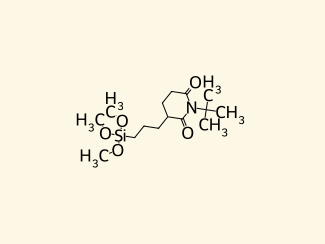 CO[Si](CCCC1CCC(=O)N(C(C)(C)C)C1=O)(OC)OC